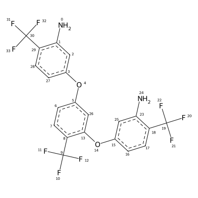 Nc1cc(Oc2ccc(C(F)(F)F)c(Oc3ccc(C(F)(F)F)c(N)c3)c2)ccc1C(F)(F)F